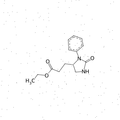 CCOC(=O)CCC1CNC(=O)N1c1ccccc1